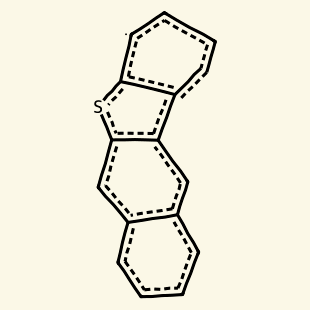 [c]1cccc2c1sc1cc3ccccc3cc12